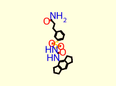 NC(=O)CCc1cccc(S(=O)(=O)NC(=O)Nc2c3c(cc4c2CCC4)CCC3)c1